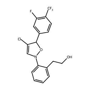 OCCc1ccccc1N1C=C(Cl)C(c2ccc(C(F)(F)F)c(F)c2)O1